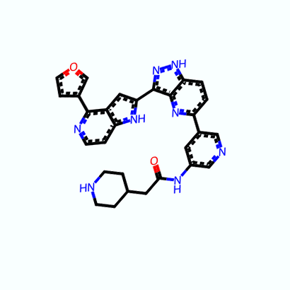 O=C(CC1CCNCC1)Nc1cncc(-c2ccc3[nH]nc(-c4cc5c(-c6ccoc6)nccc5[nH]4)c3n2)c1